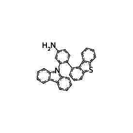 Nc1ccc(-c2cccc3sc4ccccc4c23)c(-n2c3ccccc3c3ccccc32)c1